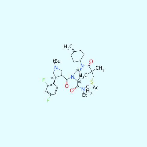 C=C1CCC(N(C(=O)C(C)(C)CSC(C)=O)[C@H]2C[C@@H](C(=O)N(C)CC)N(C(=O)C3CN(C(C)(C)C)C[C@@H]3c3ccc(F)cc3F)C2)CC1